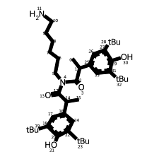 CC(C(=O)N(CCCCCCN)C(=O)C(C)c1cc(C(C)(C)C)c(O)c(C(C)(C)C)c1)c1cc(C(C)(C)C)c(O)c(C(C)(C)C)c1